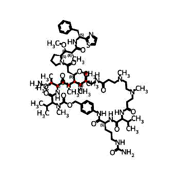 CC[C@H](C)C([C@@H](CC(=O)N1CCC[C@H]1[C@H](OC)[C@@H](C)C(=O)N[C@@H](Cc1ccccc1)c1nccs1)OC)N(C)C(=O)[C@@H](NC(=O)C(C(C)C)N(C)C(=O)OCc1ccc(NC(=O)[C@H](CCCNC(N)=O)NC(=O)C(NC(=O)CCN(C)CCN(C)CCC(=O)NCC(=O)NCCOCCON)C(C)C)cc1)C(C)C